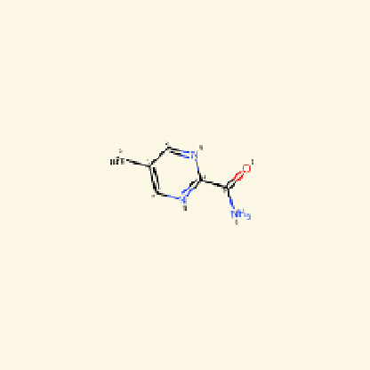 CCCc1cnc(C(N)=O)nc1